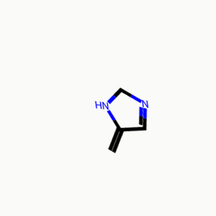 C=C1C=NCN1